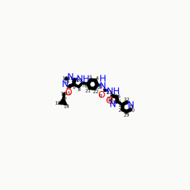 O=C(Nc1ccc(C2Cc3c(ncnc3OCC3CC3)N2)cc1)Nc1cc(-c2cccnc2)no1